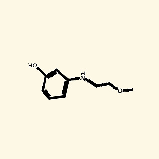 COCCNc1cccc(O)c1